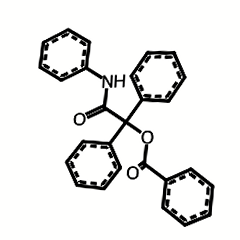 O=C(OC(C(=O)Nc1ccccc1)(c1ccccc1)c1ccccc1)c1ccccc1